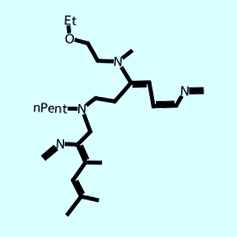 C=N/C=C\C=C(/CCN(CCCCC)C/C(N=C)=C(\C)C=C(C)C)N(C)CCOCC